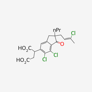 CCCC1(C/C=C(/C)Cl)Cc2cc(C(CC(=O)O)C(=O)O)c(Cl)c(Cl)c2C1=O